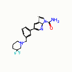 NC(=O)n1c[c]c2cc(-c3cccc(CN4CCCC(F)(F)C4)c3)cnc21